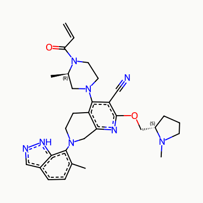 C=CC(=O)N1CCN(c2c(C#N)c(OC[C@@H]3CCCN3C)nc3c2CCN(c2c(C)ccc4cn[nH]c24)C3)C[C@H]1C